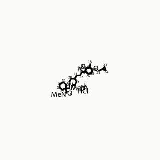 CNC.CNC(=O)C1(CN2CCC(CCc3noc4c(C)c(OCC5CC5)ccc34)CC2)CCCCC1.Cl.Cl